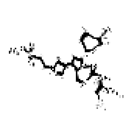 C[C@@H](CC(F)(F)F)Nc1ncc2c(-c3cnn(CCS(C)(=O)=O)c3)cc([C@H]3CC[C@H](O)CC3)n2n1